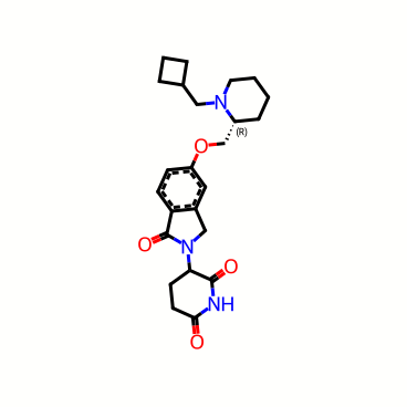 O=C1CCC(N2Cc3cc(OC[C@H]4CCCCN4CC4CCC4)ccc3C2=O)C(=O)N1